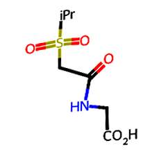 CC(C)S(=O)(=O)CC(=O)NCC(=O)O